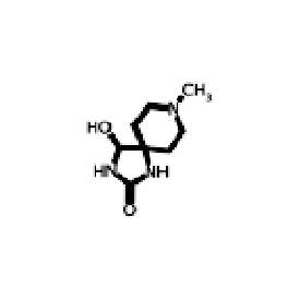 CN1CCC2(CC1)NC(=O)NC2O